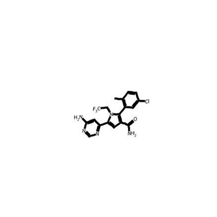 Cc1ccc(Cl)cc1-c1c(C(N)=O)cc(-c2cc(N)ncn2)n1CC(F)(F)F